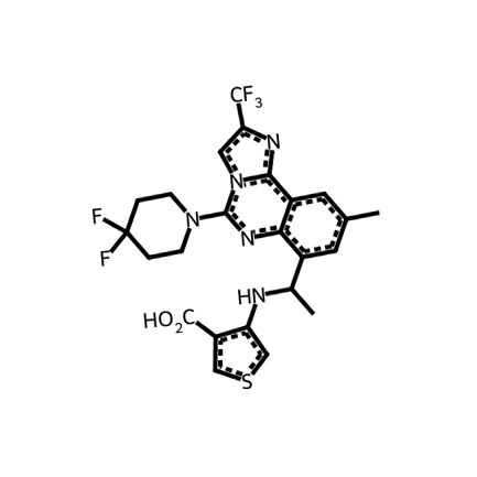 Cc1cc(C(C)Nc2cscc2C(=O)O)c2nc(N3CCC(F)(F)CC3)n3cc(C(F)(F)F)nc3c2c1